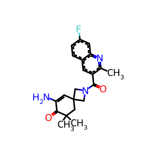 Cc1nc2cc(F)ccc2cc1C(=O)N1CC2(C=C(N)C(=O)C(C)(C)C2)C1